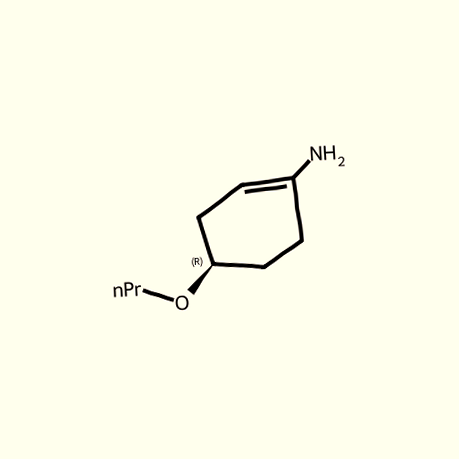 CCCO[C@H]1CC=C(N)CC1